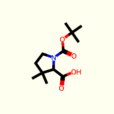 CC(C)(C)OC(=O)N1CCC(C)(C)C1C(=O)O